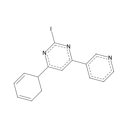 Ic1nc(-c2cccnc2)cc(C2C=CC=CC2)n1